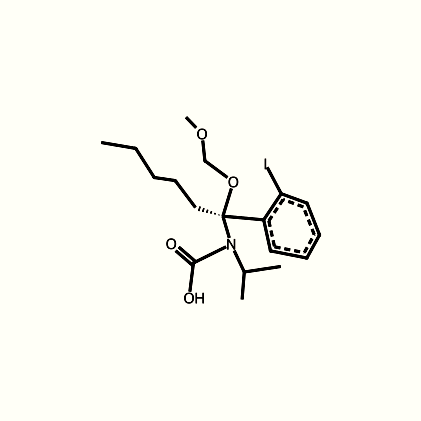 CCCCC[C@](OCOC)(c1ccccc1I)N(C(=O)O)C(C)C